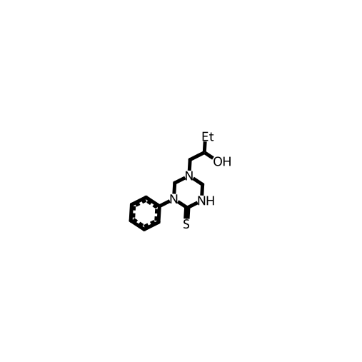 CCC(O)CN1CNC(=S)N(c2ccccc2)C1